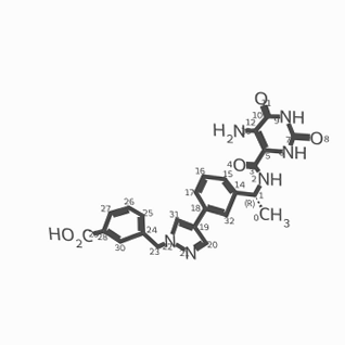 C[C@@H](NC(=O)c1[nH]c(=O)[nH]c(=O)c1N)c1cccc(-c2cnn(Cc3cccc(C(=O)O)c3)c2)c1